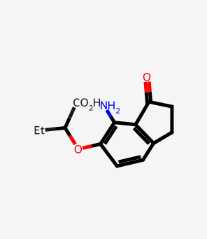 CCC(Oc1ccc2c(c1N)C(=O)CC2)C(=O)O